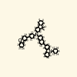 CC1(C)c2ccccc2-c2ccc(N(c3ccc(-c4ccc5oc6ccccc6c5c4)cc3)c3ccc4cc(-c5ccc6c(c5)c5ccccc5n6-c5ccccc5)ccc4c3)cc21